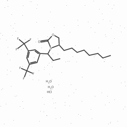 CCCCCCCCC1COC(=O)N1C(CC)c1cc(C(F)(F)F)cc(C(F)(F)F)c1.Cl.O.O